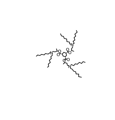 CCCCCCCCN(CCCCCCCC)CCC(C)OC(=O)[C@H]1C[C@@H](C(=O)OC(C)CCN(CCCCCCCC)CCCCCCCC)C[C@@H](C(=O)OC(C)CCN(CCCCCCCC)CCCCCCCC)C1